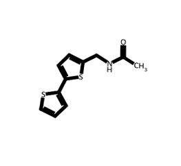 CC(=O)NCc1ccc(-c2cccs2)s1